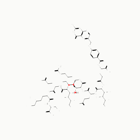 C=C(N)NCCC[C@H](NC(=O)[C@@H](NC(=O)[C@H](CCC(=O)O)NC(=O)[C@@H](NC(=O)CC[C@H](NC(=O)c1ccc(NCc2cnc3nc(N)[nH]c(=O)c3n2)cc1)C(=O)O)[C@@H](O)[C@H](O)[C@H](O)CO)[C@@H](O)[C@H](O)[C@H](O)CO)C(=O)N[C@H](C(=O)N[C@@H](CCC(=O)O)C(=O)N[C@H](C(=O)N[C@@H](CS)C(=O)O)[C@@H](O)[C@H](O)[C@H](O)CO)[C@@H](O)[C@H](O)[C@H](O)CO